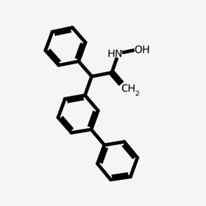 C=C(NO)C(c1ccccc1)c1cccc(-c2ccccc2)c1